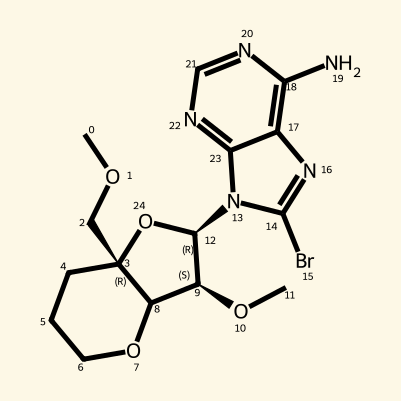 COC[C@]12CCCOC1[C@H](OC)[C@H](n1c(Br)nc3c(N)ncnc31)O2